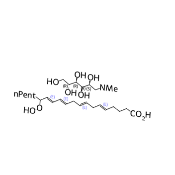 CCCCCC(/C=C/C=C/C/C=C/C/C=C/CCCC(=O)O)OO.CNC[C@H](O)[C@@H](O)[C@H](O)[C@H](O)CO